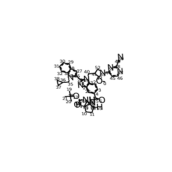 COc1cc(C(=O)N2C[C@H]3CC[C@@H]2[C@@H]3NC(=O)OC(C)(C)C)cc2nc(-c3cc4ccccc4n3CC3CC3)n(CC3CN(c4ccnc(C#N)n4)C3)c12